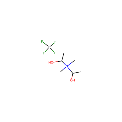 CC(O)[N+](C)(C)C(C)O.F[B-](F)(F)F